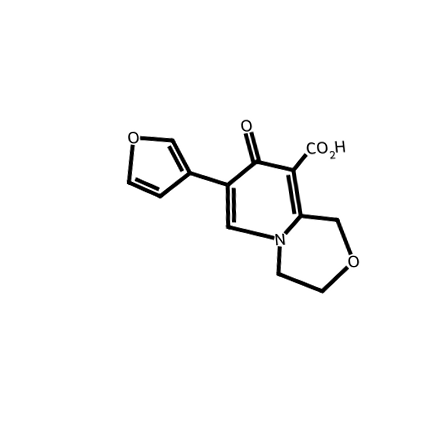 O=C(O)c1c2n(cc(-c3ccoc3)c1=O)CCOC2